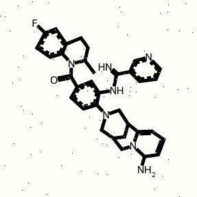 CC1CCc2cc(F)ccc2N1C(=O)c1ccc(N2CC3CC(C2)C2=CC=CC(N)N2C3)c(NC(=N)c2cccnc2)c1